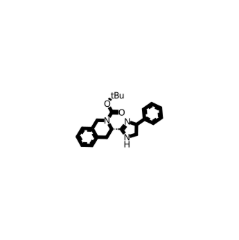 CC(C)(C)OC(=O)N1Cc2ccccc2C[C@H]1C1=NC(c2ccccc2)CN1